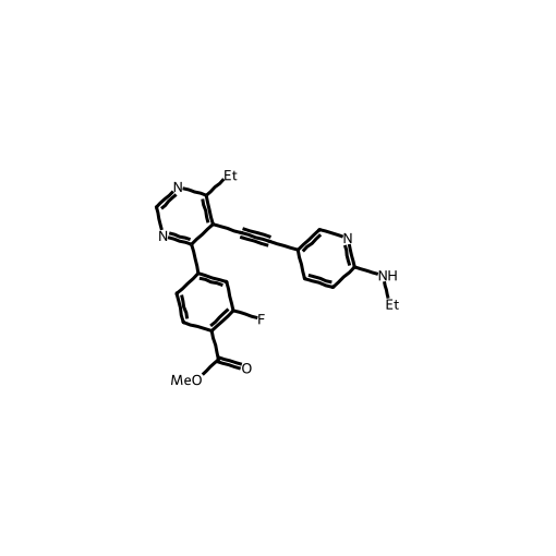 CCNc1ccc(C#Cc2c(CC)ncnc2-c2ccc(C(=O)OC)c(F)c2)cn1